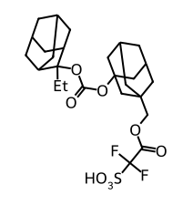 CCC1(OC(=O)OC23CC4CC(CC(COC(=O)C(F)(F)S(=O)(=O)O)(C4)C2)C3)C2CC3CC(C2)CC1C3